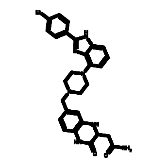 CCc1ccc(-c2nc3c(N4CCN(Cc5ccc6c(c5)NC(CC(N)=O)C(=O)N6)CC4)cccc3[nH]2)cc1